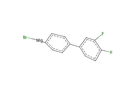 Fc1ccc(-c2cc[c]([Mg][Br])cc2)cc1F